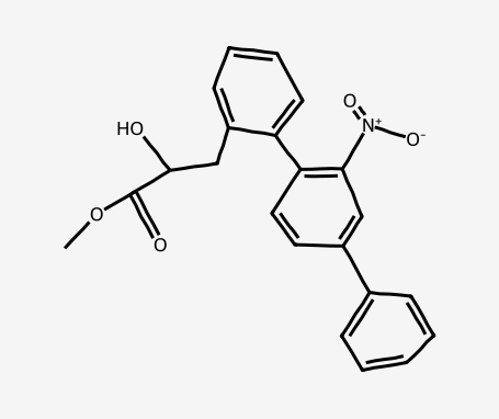 COC(=O)C(O)Cc1ccccc1-c1ccc(-c2ccccc2)cc1[N+](=O)[O-]